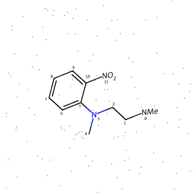 CNCCN(C)c1ccccc1[N+](=O)[O-]